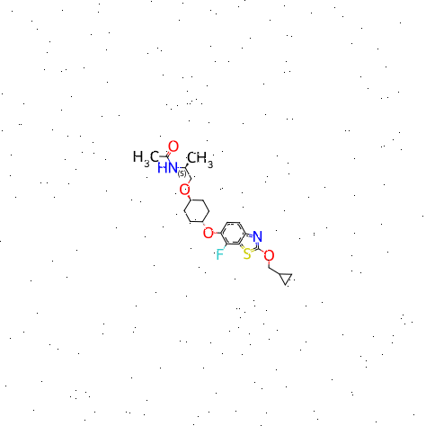 CC(=O)N[C@@H](C)CO[C@H]1CC[C@H](Oc2ccc3nc(OCC4CC4)sc3c2F)CC1